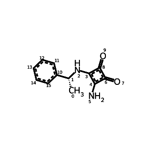 C[C@@H](Nc1c(N)c(=O)c1=O)c1ccccc1